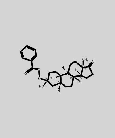 C[C@]12CC[C@@](O)(OOC(=O)c3ccccc3)C[C@H]1CC[C@@H]1[C@@H]2CC[C@]2(C)C(=O)CC[C@@H]12